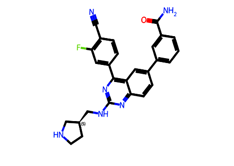 N#Cc1ccc(-c2nc(NC[C@H]3CCNC3)nc3ccc(-c4cccc(C(N)=O)c4)cc23)cc1F